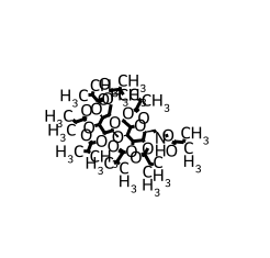 CC(C)C(=O)OCC1O[C@@H](CNOC(=O)C(C)C)C(OC(=O)C(C)C)C(OC(=O)C(C)C)[C@@H]1O[C@@H]1OC(COC(=O)C(C)C)[C@H](OC(=O)C(C)C)C(OC(=O)C(C)C)C1OC(=O)C(C)C